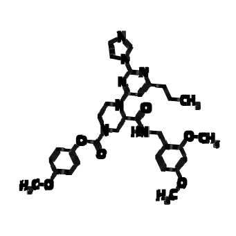 CCCc1cc(N2CCN(C(=O)Oc3ccc(OC)cc3)CC2C(=O)NCc2ccc(OC)cc2OC)nc(-n2ccnc2)n1